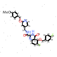 COc1ccc(COc2cc(CNC(=O)c3nc4ccc(F)c(OCc5ccc(F)cc5)c4c(=O)[nH]3)ccn2)cc1